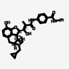 C/C(C(=O)Nc1ccc(C(=O)NC(C)C)cc1)=C(/O)[C@@H]1Oc2c(O)ccc3c2[C@@]12CCN(CC1CC1)[C@H](C3)[C@@]2(C)O